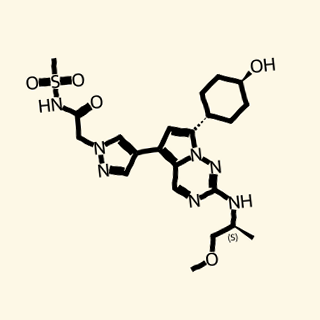 COC[C@H](C)Nc1ncc2c(-c3cnn(CC(=O)NS(C)(=O)=O)c3)cc([C@H]3CC[C@H](O)CC3)n2n1